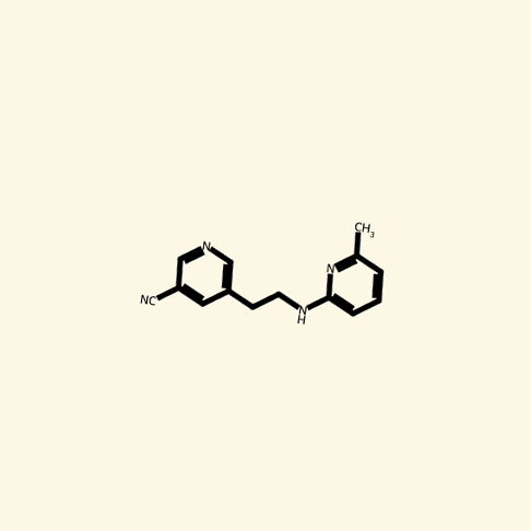 Cc1cccc(NCCc2cncc(C#N)c2)n1